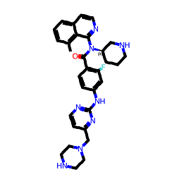 Cc1cccc2ccnc(N(C(=O)c3ccc(Nc4nccc(CN5CCNCC5)n4)cc3F)[C@@H]3CCCNC3)c12